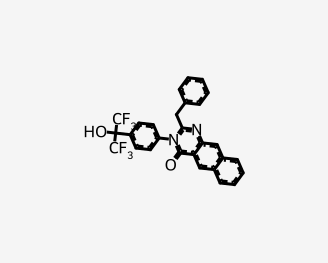 O=c1c2cc3ccccc3cc2nc(Cc2ccccc2)n1-c1ccc(C(O)(C(F)(F)F)C(F)(F)F)cc1